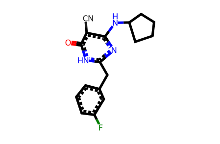 N#Cc1c(NC2CCCC2)nc(Cc2cccc(F)c2)[nH]c1=O